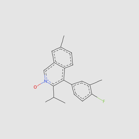 Cc1ccc2c(-c3ccc(F)c(C)c3)c(C(C)C)[n+]([O-])cc2c1